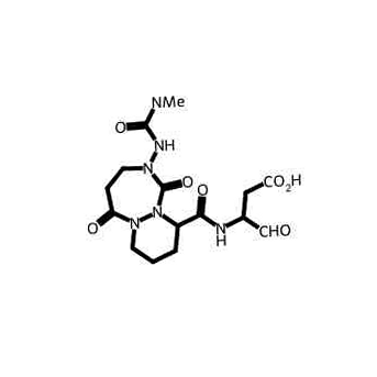 CNC(=O)NN1CCC(=O)N2CCCC(C(=O)NC(C=O)CC(=O)O)N2C1=O